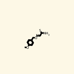 COc1ccc(CO/N=C/C(N)=S)cc1